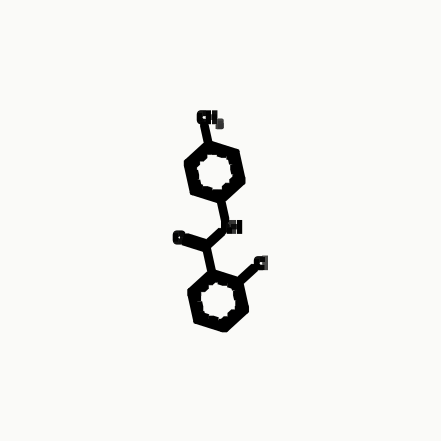 Cc1ccc(NC(=O)c2ccccc2Cl)cc1